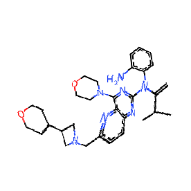 C=C(C(C)C)N(c1nc(N2CCOCC2)c2nc(CN3CC(C4CCOCC4)C3)ccc2n1)c1ccccc1N